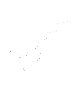 COCCOCOc1ccc(OC)c(C(=O)OC)c1